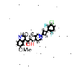 COc1ccc2nccc([C@@H](O)CC[C@@H]3CCN(C4CC(c5c(F)ccc(Cl)c5F)C4)C[C@@H]3C(=O)O)c2c1